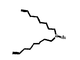 C=CCCCCC[CH2][Al]([CH2]CCC)[CH2]CCCCCC=C